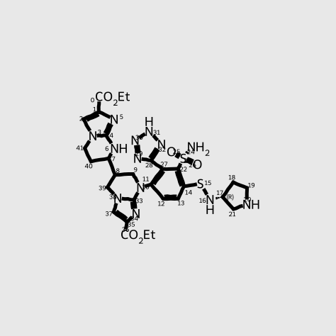 CCOC(=O)c1cn2c(n1)NC(C1CN(c3ccc(SN[C@@H]4CCNC4)c(S(N)(=O)=O)c3-c3nn[nH]n3)c3nc(C(=O)OCC)cn3C1)CC2